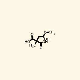 COC(O)CC(C)(C(=O)O)C(=O)O